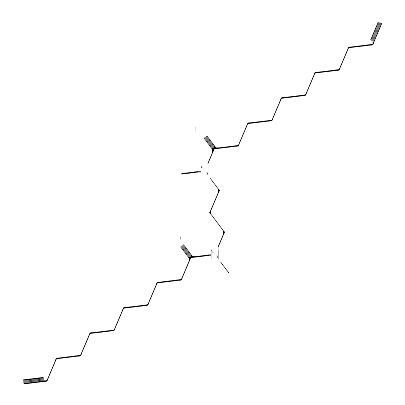 C=CCCCCCCCCC(=O)N(C)CCCN(C)C(=O)CCCCCCCCC=C